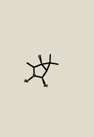 CC(=O)[C@@H]1C2[C@H](C(C)N1C(C)=O)C2(C)C